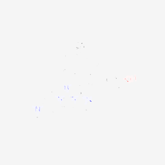 CN(C)C1CCN(c2nc(-c3ccc(C#N)cc3)c(-c3ccc4c(c3)C[C@H](O)C4)c3nccn23)CC1